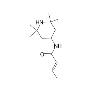 C/C=C/C(=O)NC1CC(C)(C)NC(C)(C)C1